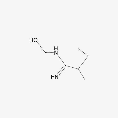 CCC(C)C(=N)NCO